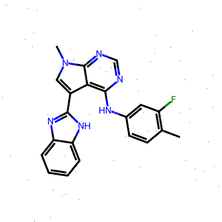 Cc1ccc(Nc2ncnc3c2c(-c2nc4ccccc4[nH]2)cn3C)cc1F